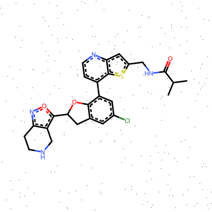 CC(C)C(=O)NCc1cc2nccc(-c3cc(Cl)cc4c3OC(c3onc5c3CNCC5)C4)c2s1